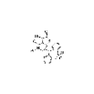 CC(C)N1CN(C2c3ccccc3CS(=O)(=O)c3ccccc32)n2ccc(=O)c(O)c2C1=O